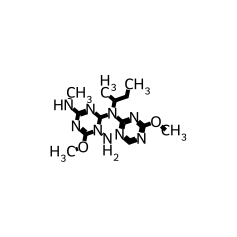 CCC(C)N(c1ncnc(OC)n1)C1N=C(NC)N=C(OC)N1N